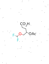 CC(=O)OC(CCC(=O)O)COC(F)F